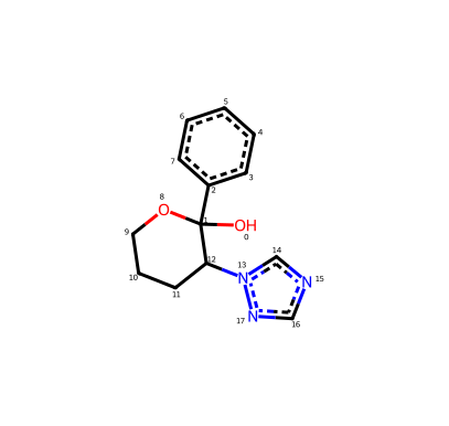 OC1(c2ccccc2)OCCCC1n1cncn1